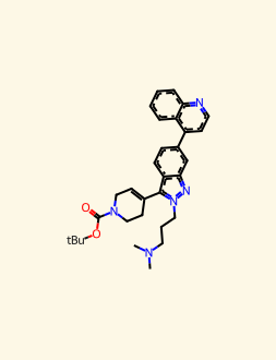 CN(C)CCCn1nc2cc(-c3ccnc4ccccc34)ccc2c1C1=CCN(C(=O)OC(C)(C)C)CC1